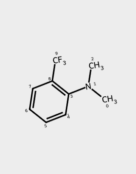 CN(C)c1[c]cccc1C(F)(F)F